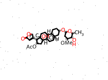 CO[C@H]1C[C@H](O[C@H]2CC[C@@]3(C)[C@H](CC[C@@H]4[C@@H]3CC[C@]3(C)[C@@H](C5=CC(=O)OC5)[C@@H](OC(C)=O)C[C@]43O)C2)O[C@@H](C)[C@@H]1O